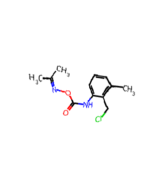 CC(C)=NOC(=O)Nc1cccc(C)c1CCl